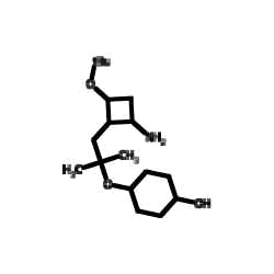 CC(C)(C)OC1CC(N)C1CC(C)(C)OC1CCC(O)CC1